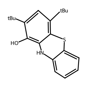 CC(C)(C)c1cc(C(C)(C)C)c2c(c1O)Nc1ccccc1S2